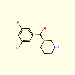 OC(c1cc(F)cc(Cl)c1)[C@@H]1CCCNC1